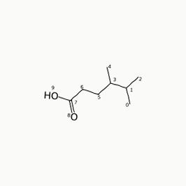 CC(C)C(C)CCC(=O)O